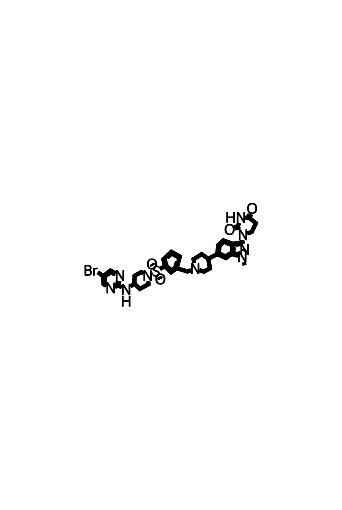 Cn1nc(N2CCC(=O)NC2=O)c2ccc(C3CCN(Cc4cccc(S(=O)(=O)N5CCC(Nc6ncc(Br)cn6)CC5)c4)CC3)cc21